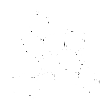 CCNc1c(N2CCOCC2)nc(N2CCNCC2c2ccccc2)nc1N1CCOCC1